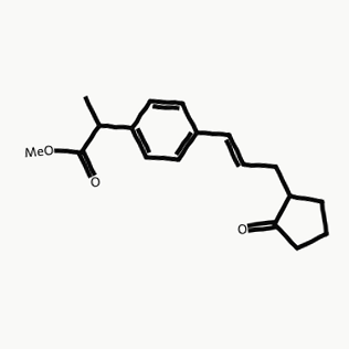 COC(=O)C(C)c1ccc(/C=C/CC2CCCC2=O)cc1